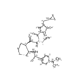 CC(C)C[C@H](NC(=O)[C@@H]1CCCC[C@@H]1NC(=O)c1ccc(N(C)C)cc1)C(=O)c1nn(CC2CC2)c(=O)o1